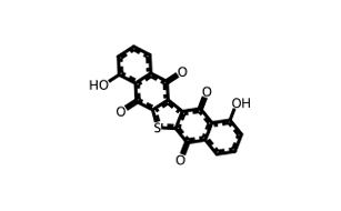 O=c1c2cccc(O)c2c(=O)c2c1sc1c(=O)c3c(O)cccc3c(=O)c12